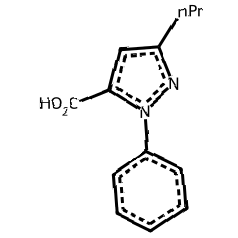 CCCc1cc(C(=O)O)n(-c2ccccc2)n1